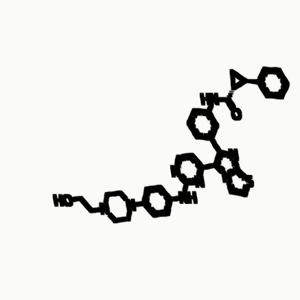 O=C(Nc1cccc(-c2nc3sccn3c2-c2ccnc(Nc3ccc(N4CCN(CCO)CC4)cc3)n2)c1)[C@@H]1C[C@H]1c1ccccc1